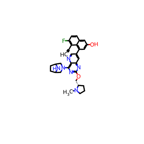 C#Cc1c(F)ccc2cc(O)cc(-c3cnc4c(N5CC6CCC(C5)N6)nc(OC[C@@H]5CCCN5C)nc4c3)c12